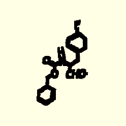 O=[C]C(Cc1ccc(F)cc1)NC(=O)OCc1ccccc1